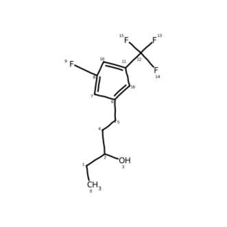 CCC(O)C[CH]c1cc(F)cc(C(F)(F)F)c1